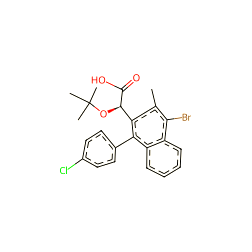 Cc1c([C@@H](OC(C)(C)C)C(=O)O)c(-c2ccc(Cl)cc2)c2ccccc2c1Br